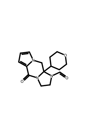 O=CN1CCN2C(=O)c3cccn3CC12C1CCOCC1